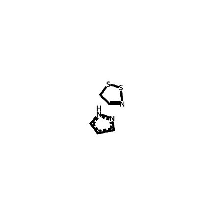 C1=NSSC1.c1cn[nH]c1